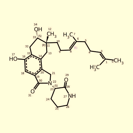 CC(C)=CCC/C(C)=C/CC[C@]1(C)Cc2c(c(O)cc3c2CN([C@H]2CCCNC2=O)C3=O)C[C@@H]1O